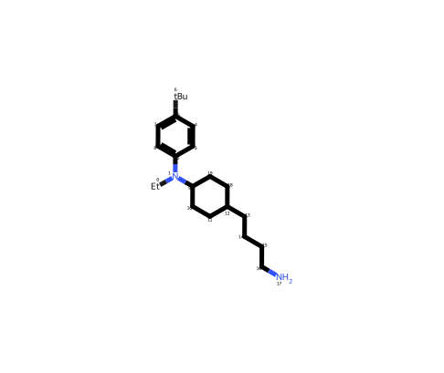 CCN(c1ccc(C(C)(C)C)cc1)C1CCC(CCCCN)CC1